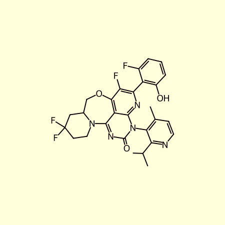 Cc1ccnc(C(C)C)c1-n1c(=O)nc2c3c(c(F)c(-c4c(O)cccc4F)nc31)OCC1CC(F)(F)CCN21